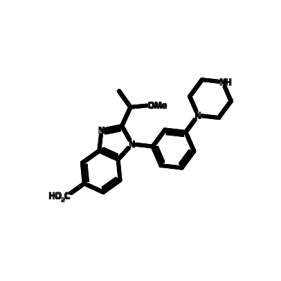 COC(C)c1nc2cc(C(=O)O)ccc2n1-c1cccc(N2CCNCC2)c1